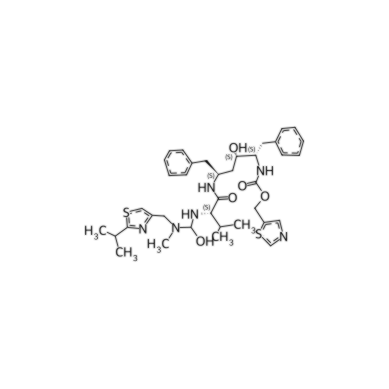 CC(C)c1nc(CN(C)C(O)N[C@H](C(=O)N[C@@H](Cc2ccccc2)C[C@H](O)[C@H](Cc2ccccc2)NC(=O)OCc2cncs2)C(C)C)cs1